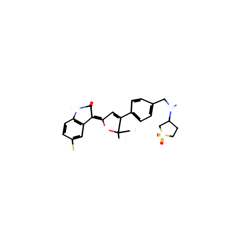 CN(Cc1ccc(C2=C/C(=C3\C(=O)Nc4ccc(F)cc43)OC2(C)C)cc1)C1CCS(=O)(=O)C1